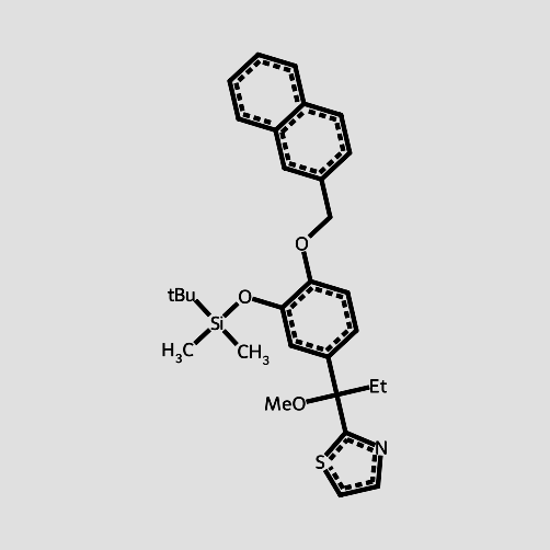 CCC(OC)(c1ccc(OCc2ccc3ccccc3c2)c(O[Si](C)(C)C(C)(C)C)c1)c1nccs1